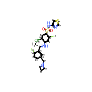 C[C@H](Nc1cc(F)c(S(=O)(=O)Nc2cscn2)cc1Cl)c1cc(CN2CCC2)ccc1F